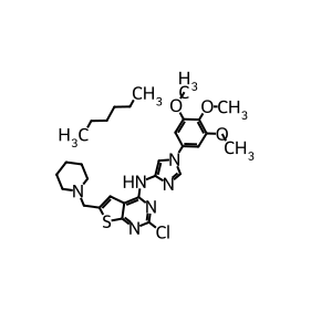 CCCCCC.COc1cc(-n2cnc(Nc3nc(Cl)nc4sc(CN5CCCCC5)cc34)c2)cc(OC)c1OC